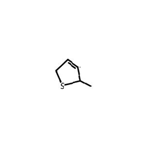 CC1[C]=CCS1